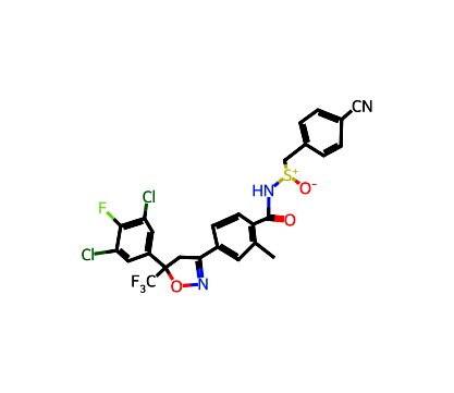 Cc1cc(C2=NOC(c3cc(Cl)c(F)c(Cl)c3)(C(F)(F)F)C2)ccc1C(=O)N[S+]([O-])Cc1ccc(C#N)cc1